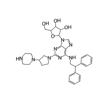 OCC1OC(n2cnc3c(NCC(c4ccccc4)c4ccccc4)nc(N4CCC(N5CCNCC5)C4)nc32)C(O)C1O